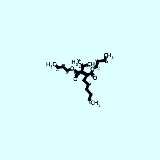 CCCCCCC(C(=O)OCCCC)=C(C(=O)OCCCC)C(C)C